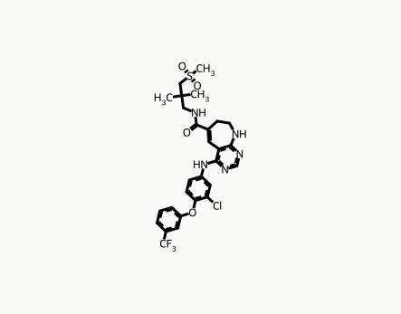 CC(C)(CNC(=O)C1=Cc2c(ncnc2Nc2ccc(Oc3cccc(C(F)(F)F)c3)c(Cl)c2)NCC1)CS(C)(=O)=O